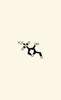 CS(=O)(=O)c1coc(C=O)c1O